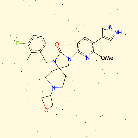 COc1nc(N2CC3(CCN(C4COC4)CC3)N(Cc3cccc(F)c3C)C2=O)ccc1-c1cn[nH]c1